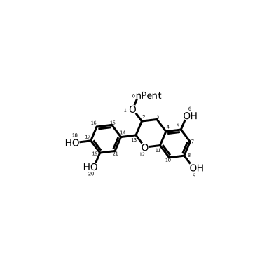 CCCCCOC1Cc2c(O)cc(O)cc2OC1c1ccc(O)c(O)c1